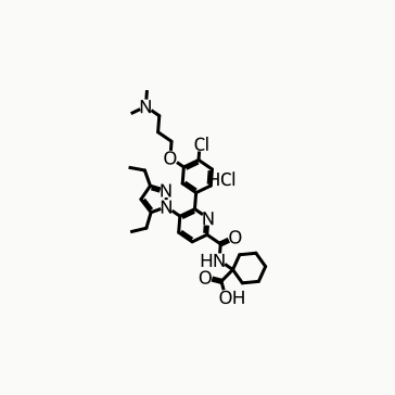 CCc1cc(CC)n(-c2ccc(C(=O)NC3(C(=O)O)CCCCC3)nc2-c2ccc(Cl)c(OCCCN(C)C)c2)n1.Cl